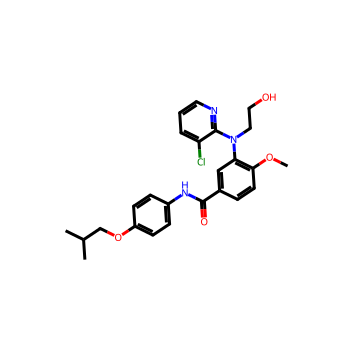 COc1ccc(C(=O)Nc2ccc(OCC(C)C)cc2)cc1N(CCO)c1ncccc1Cl